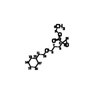 CCOC(=O)C1(CCCOCCC2CCCCC2)CO1